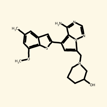 COc1cc(C)cc2cc(-c3cc(CN4CCCC(O)C4)n4ncnc(N)c34)sc12